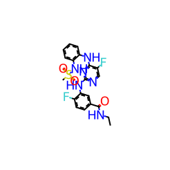 CCNC(=O)c1ccc(F)c(Nc2ncc(F)c(Nc3ccccc3NS(C)(=O)=O)n2)c1